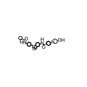 O=C(Nc1ccc(-n2ncc3cc(NC(=O)c4ccc(N5CCC(O)CC5)cc4)ccc32)cc1)C1=CCCC1